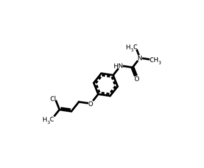 CC(Cl)=CCOc1ccc(NC(=O)N(C)C)cc1